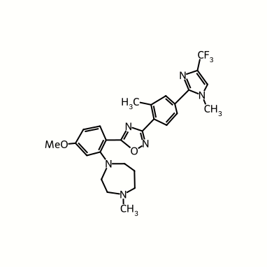 COc1ccc(-c2nc(-c3ccc(-c4nc(C(F)(F)F)cn4C)cc3C)no2)c(N2CCCN(C)CC2)c1